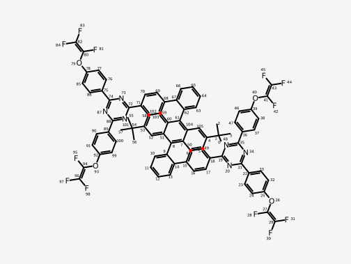 CC(C)(C)c1ccc2c(-c3ccccc3-c3ccc(-c4nc(-c5ccc(OC(F)=C(F)F)cc5)nc(-c5ccc(OC(F)=C(F)F)cc5)n4)cc3)c3cc(C(C)(C)C)ccc3c(-c3ccccc3-c3ccc(-c4nc(-c5ccc(OC(F)=C(F)F)cc5)nc(-c5ccc(OC(F)=C(F)F)cc5)n4)cc3)c2c1